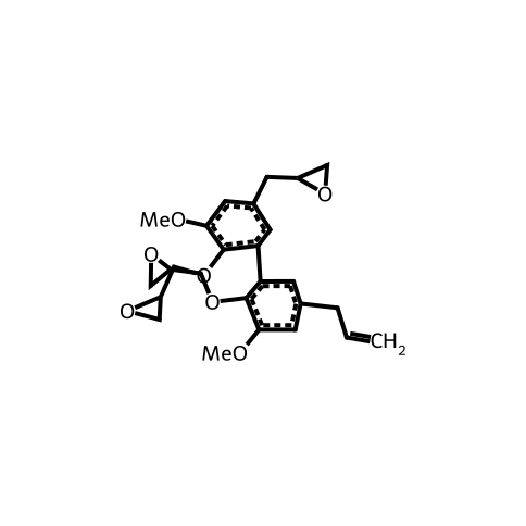 C=CCc1cc(OC)c(OCC2CO2)c(-c2cc(CC3CO3)cc(OC)c2OCC2CO2)c1